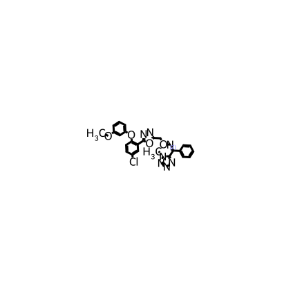 COc1cccc(Oc2ccc(Cl)cc2-c2nnc(CO/N=C(/c3ccccc3)c3nnnn3C)o2)c1